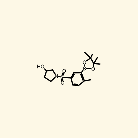 Cc1ccc(S(=O)(=O)N2CCC(O)C2)cc1B1OC(C)(C)C(C)(C)O1